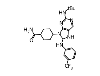 CC(C)(C)Nc1ncc2c(n1)N(C1CCC(C(N)=O)CC1)C(Nc1cccc(C(F)(F)F)c1)N2